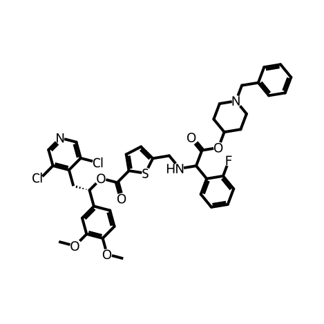 COc1ccc([C@H](Cc2c(Cl)cncc2Cl)OC(=O)c2ccc(CNC(C(=O)OC3CCN(Cc4ccccc4)CC3)c3ccccc3F)s2)cc1OC